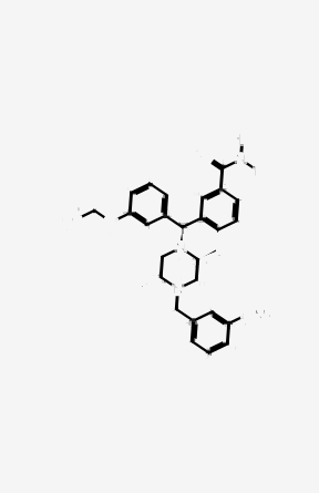 CCN(CC)C(=O)c1cccc([C@H](c2cccc(OCC(=O)O)c2)N2C[C@@H](C)N(Cc3cccc(OC)c3)C[C@@H]2C)c1